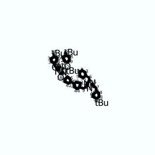 CC(C)(C)c1ccc(Cc2nc(Cc3ccc(-c4ccc(Oc5nc(Oc6ccc(C(C)(C)C)cc6)nc(Oc6ccc(C(C)(C)C)cc6)n5)cc4)cc3)nc(Cc3ccc(C(C)(C)C)cc3)n2)cc1